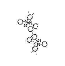 Cc1cc2c(cc1C)N(c1ccccc1)P(=O)(c1ccc(-c3ccc(P4(=O)N(c5ccccc5)c5cc(C)c(C)cc5N4c4ccccc4)cc3)cc1)N2c1ccccc1